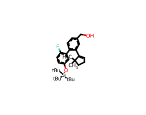 CC1(C)CCC=C1c1cc(CO)ccc1-c1cc(O[Si](C(C)(C)C)(C(C)(C)C)C(C)(C)C)ccc1F